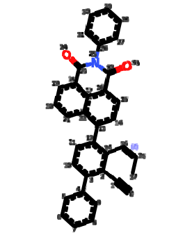 C#Cc1c(-c2ccccc2)ccc(-c2ccc3c4c(cccc24)C(=O)N(c2ccccc2)C3=O)c1/C=C\C